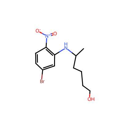 CC(CCCCO)Nc1cc(Br)ccc1[N+](=O)[O-]